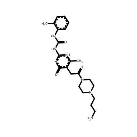 Cc1ccccc1NC(=O)Nc1nc(=O)c(CC(=O)N2CCN(CCCN)CC2)c(C)[nH]1